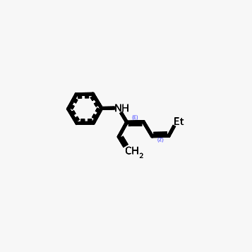 C=C/C(=C\C=C/CC)Nc1ccccc1